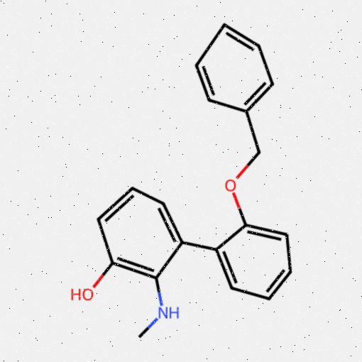 CNc1c(O)cccc1-c1ccccc1OCc1ccccc1